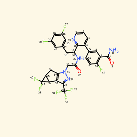 NC(=O)c1cc(-c2cccnc2[C@H](Cc2cc(F)cc(F)c2)NC(=O)Cn2nc(C(F)(F)F)c3c2CC2C3C2(F)F)ccc1F